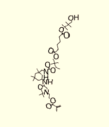 C=C(C)C(=O)OCCN(CC(=O)NC1CC(C)(C)CC(C)(CNC(=O)OC(C)C(C)(C)COC(=O)CCCCC(=O)OC(C)(C)C(C)(C)CO)C1)C(C)(C)C